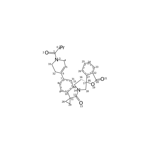 CC(C)C(=O)N1CC=C(c2ccc(C3(C(=O)N4CC[C@@]5(C4)OC(=O)c4ccccc45)CC3)cc2)CC1